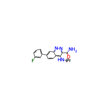 CC(C)Nc1c(C(N)=O)nnc2cc(-c3cccc(F)c3)ccc12